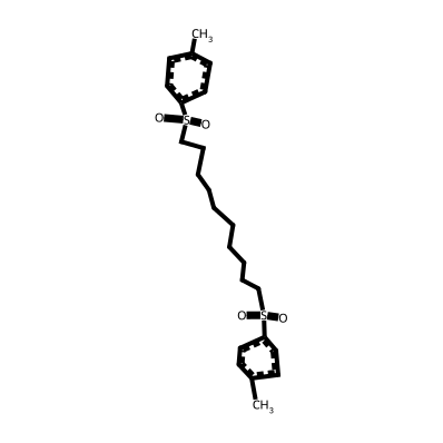 Cc1ccc(S(=O)(=O)CCCCCCCCCCS(=O)(=O)c2ccc(C)cc2)cc1